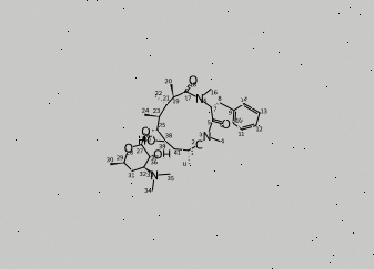 C[C@H]1CN(C)C(=O)[C@@H](Cc2ccccc2)N(C)C(=O)[C@H](C)[C@@H](C)[C@H](C)[C@@H](O[C@@H]2O[C@H](C)C[C@H](N(C)C)[C@H]2O)[C@](C)(O)C1